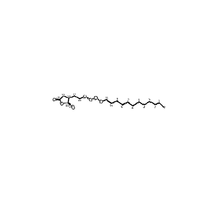 CCCCCCCCCCCCOOOOCCC1CC(=O)OC1=O